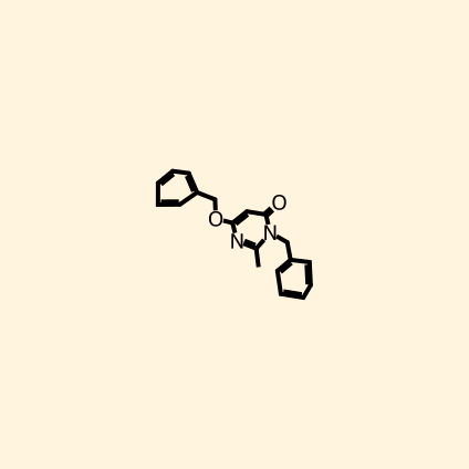 Cc1nc(OCc2ccccc2)cc(=O)n1Cc1ccccc1